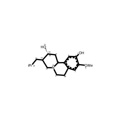 COc1cc2c(cc1O)C1C[C@@H](O)C(CC(C)C)CN1CC2